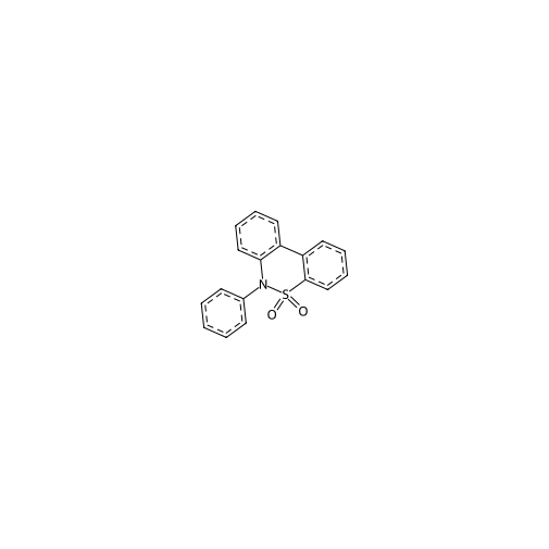 O=S1(=O)c2ccccc2-c2ccccc2N1c1ccccc1